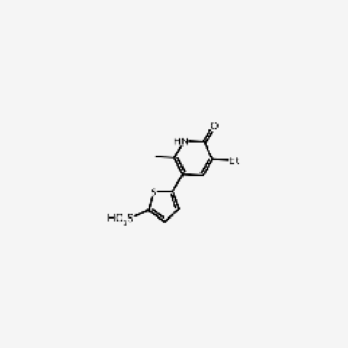 CCc1cc(-c2ccc(S(=O)(=O)O)s2)c(C)[nH]c1=O